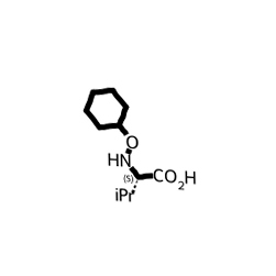 CC(C)[C@H](NOC1CCCCC1)C(=O)O